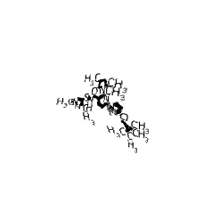 Cc1nn(C)cc1SNC(=O)c1ccc(-n2ccc(OCC3C(C)(C)C3(C)C)n2)nc1N1CC(C)CC1(C)C